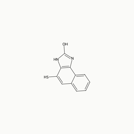 Oc1nc2c([nH]1)c(S)cc1ccccc12